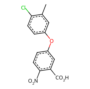 Cc1cc(Oc2ccc([N+](=O)[O-])c(C(=O)O)c2)ccc1Cl